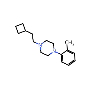 Cc1ccccc1N1CCN(CCC2CCC2)CC1